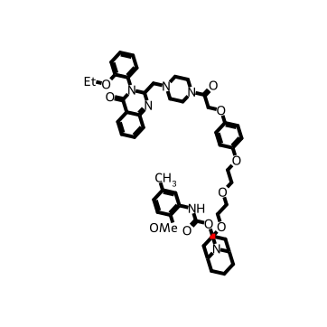 CCOc1ccccc1N1C(=O)C2C=CC=CC2=NC1CN1CCN(C(=O)COc2ccc(OCCOCCOCN3C4CCCC3CC(OC(=O)Nc3cc(C)ccc3OC)C4)cc2)CC1